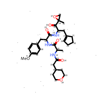 COc1ccc(CC(NC(=O)C(C)NC(=O)CC2CCOCC2)C(=O)NC(CC2=CCCC2)C(=O)C2(C)CO2)cc1